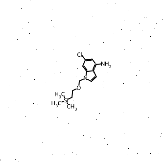 C[Si](C)(C)CCOCn1ccc2c(N)cc(Cl)cc21